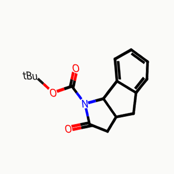 CC(C)(C)OC(=O)N1C(=O)CC2Cc3ccccc3C21